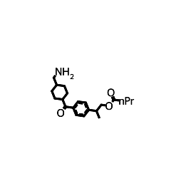 CCCC(=O)OCC(C)c1ccc(C(=O)C2CCC(CN)CC2)cc1